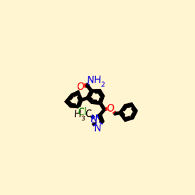 Cn1cncc1C(OCc1ccccc1)c1ccc(C(N)=O)c(-c2ccccc2Cl)c1